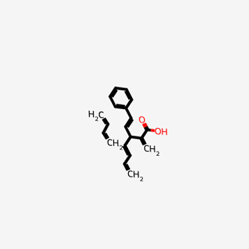 C=CC=C.C=CC=CC(C=Cc1ccccc1)C(=C)C(=O)O